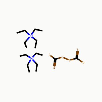 CC[N+](CC)(CC)CC.CC[N+](CC)(CC)CC.S=C([S-])SSC(=S)[S-]